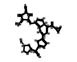 C=c1[nH]c(=O)[nH]/c1=C\c1cnn2c(NC3CC3)cc(-c3ccc(C(=O)N4CC[C@H](F)C4)s3)nc12